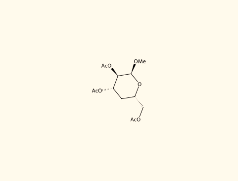 CO[C@H]1O[C@H](COC(C)=O)C[C@H](OC(C)=O)[C@H]1OC(C)=O